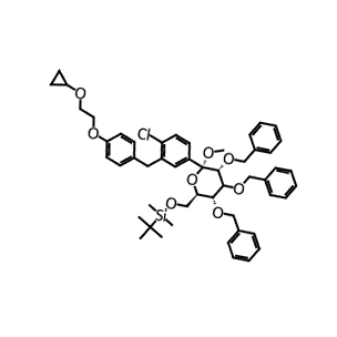 CO[C@@]1(c2ccc(Cl)c(Cc3ccc(OCCOC4CC4)cc3)c2)O[C@H](CO[Si](C)(C)C(C)(C)C)[C@@H](OCc2ccccc2)C(OCc2ccccc2)[C@H]1OCc1ccccc1